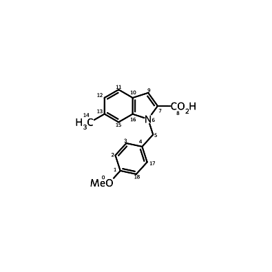 COc1ccc(Cn2c(C(=O)O)cc3ccc(C)cc32)cc1